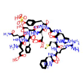 CSCC[C@H](NC(=O)[C@H](Cc1c[nH]cn1)NC(=O)CNC(=O)[C@H](Cc1ccc(OS(=O)(=O)O)cc1)NC(=O)[C@H](CC(=O)O)NC(=O)[C@H](CC(=O)O)NC(=O)[C@H](Cc1ccccc1)NC(=O)[C@H](CCC(N)=O)NC(=O)[C@@H](N)CCC(=O)O)C(=O)N[C@@H](CCCNC(=N)N)C(=O)N[C@@H](Cc1ccccc1)C(N)=O